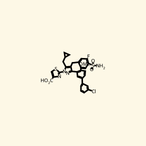 COc1ccc(-c2cccc(Cl)c2)cc1-c1nn(-c2nc(C(=O)O)cs2)c(CC2CC2)c1Cc1ccc(S(N)(=O)=O)c(F)c1